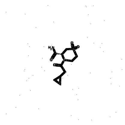 NC(=O)[C@@H]1CS(=O)(=O)CCN1C(=O)[CH]C1CC1